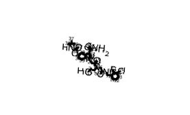 C[C@H](CO)N(CC(=O)NCc1cccc(Cl)c1F)C(=O)Cn1nc(C(N)=O)c2cc(OC(=O)NC(C)(C)C)ccc21